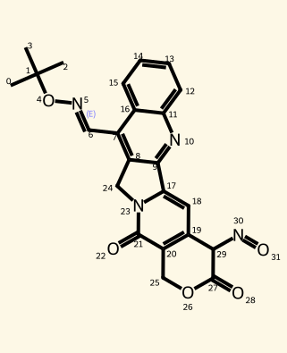 CC(C)(C)O/N=C/c1c2c(nc3ccccc13)-c1cc3c(c(=O)n1C2)COC(=O)C3N=O